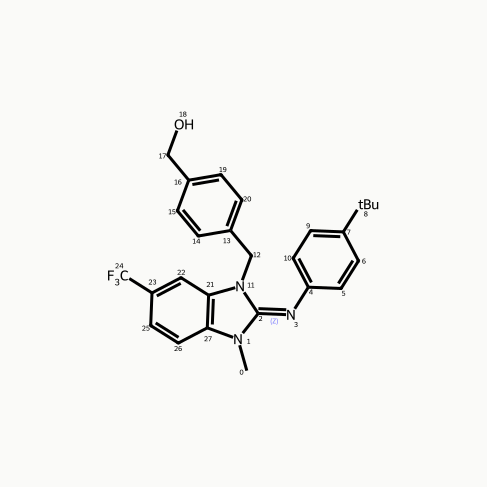 Cn1/c(=N/c2ccc(C(C)(C)C)cc2)n(Cc2ccc(CO)cc2)c2cc(C(F)(F)F)ccc21